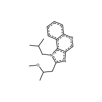 COC(C)Cc1nc2cnc3ccccc3c2n1CC(C)C